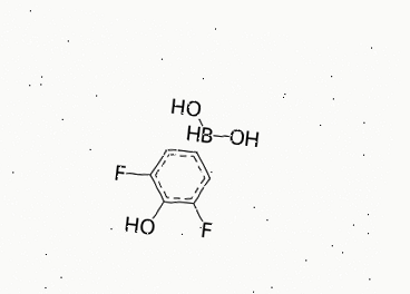 OBO.Oc1c(F)cccc1F